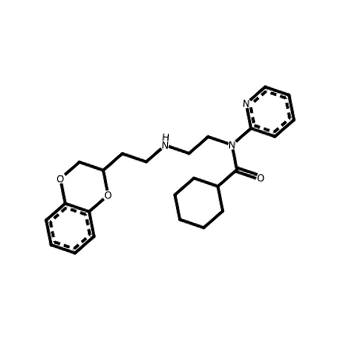 O=C(C1CCCCC1)N(CCNCCC1COc2ccccc2O1)c1ccccn1